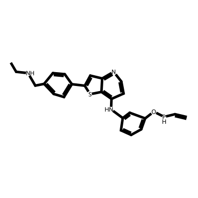 C=CPOc1cccc(Nc2ccnc3cc(-c4ccc(CNCC)cc4)sc23)c1